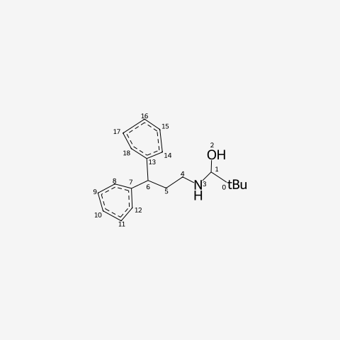 CC(C)(C)C(O)NCCC(c1ccccc1)c1ccccc1